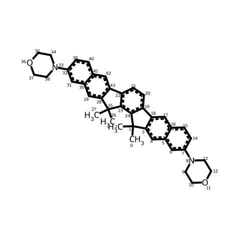 CC1(C)c2cc3cc(N4CCOCC4)ccc3cc2-c2ccc3c(c21)C(C)(C)c1cc2cc(N4CCOCC4)ccc2cc1-3